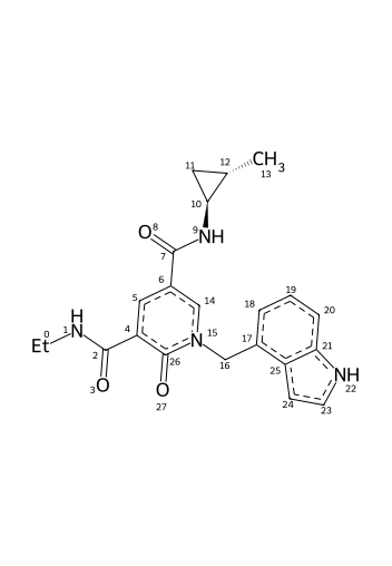 CCNC(=O)c1cc(C(=O)N[C@H]2C[C@@H]2C)cn(Cc2cccc3[nH]ccc23)c1=O